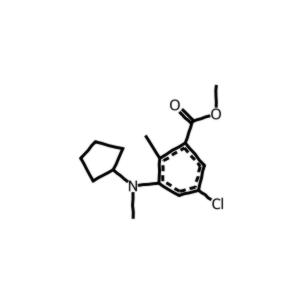 COC(=O)c1cc(Cl)cc(N(C)C2CCCC2)c1C